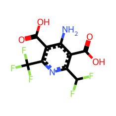 Nc1c(C(=O)O)c(C(F)F)nc(C(F)(F)F)c1C(=O)O